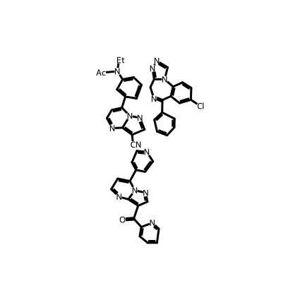 CCN(C(C)=O)c1cccc(-c2ccnc3c(C#N)cnn23)c1.Clc1ccc2c(c1)C(c1ccccc1)=NCc1nncn1-2.O=C(c1ccccn1)c1cnn2c(-c3ccncc3)ccnc12